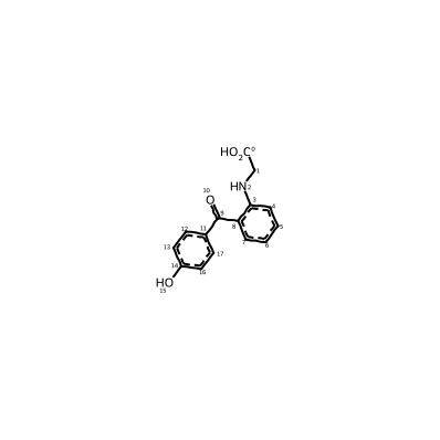 O=C(O)CNc1ccccc1C(=O)c1ccc(O)cc1